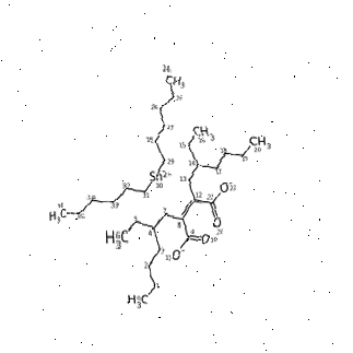 CCCCC(CC)C/C(C(=O)[O-])=C(\CC(CC)CCCC)C(=O)[O-].CCCCC[CH2][Sn+2][CH2]CCCCC